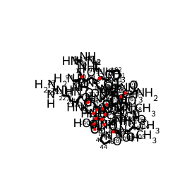 CC(C)C[C@H](NC(=O)[C@H](CCCNC(=N)N)NC(=O)[C@H](CCCNC(=N)N)NC(=O)CNC(=O)[C@H](CC(=O)O)NC(=O)[C@@H]1CCCN1C(=O)CNC(=O)[C@@H](NC(=O)[C@H](C)NC(=O)[C@@H](NC(=O)[C@H](CO)NC(=O)[C@H](CC(N)=O)NC(=O)[C@@H]1CCCN1C(=O)[C@H](CCCNC(=N)N)NC(=O)CN)C(C)C)C(C)C)C(=O)N[C@@H](CO)C(=O)N[C@@H](C)C(=O)N[C@H](C(=O)N[C@@H](CCC(=O)O)C(=O)N[C@@H](C)C(=O)O)[C@@H](C)O